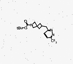 CC(C)(C)OC(=O)N1CC2(CC(Cc3ccc(C(F)(F)F)nn3)C2)C1